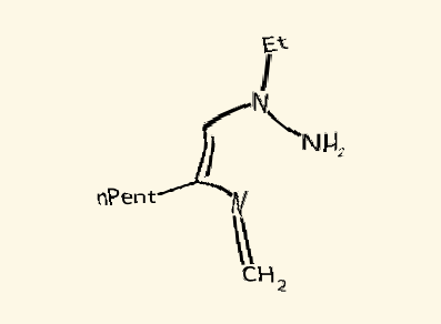 C=N/C(=C\N(N)CC)CCCCC